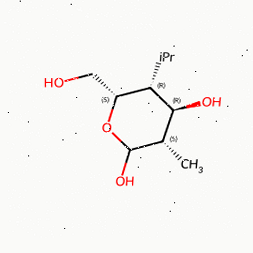 CC(C)[C@@H]1[C@@H](O)[C@H](C)C(O)O[C@@H]1CO